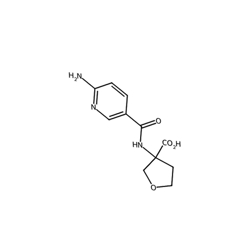 Nc1ccc(C(=O)NC2(C(=O)O)CCOC2)cn1